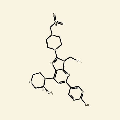 C[C@H]1COCCN1c1nc(-c2cnc(N)nc2)nc2c1nc(N1CCN(C[SH](=O)=O)CC1)n2CC(F)(F)F